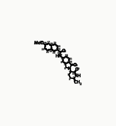 C=C1CCC(N2Cc3cc(NC(=O)c4ccc5cc(OC)ccc5c4)ccc3C2=O)C(=O)N1